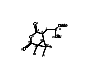 COC(CC1C(=O)OC(=O)C2(C)C1C2(C)C)C(C)(C)C